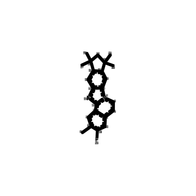 Cc1cc2c(ccn3c4cc5c(cc4nc23)C(C)(C)CC5(C)C)cc1F